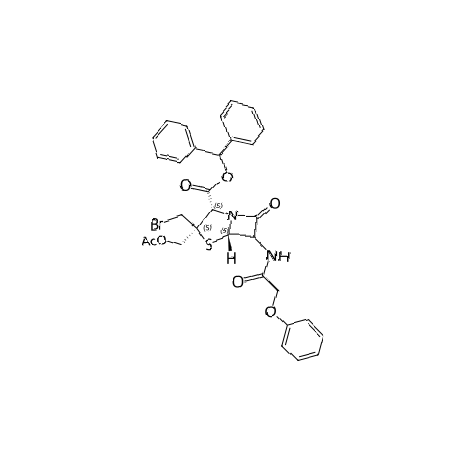 CC(=O)OC[C@@]1(CBr)S[C@H]2C(NC(=O)COc3ccccc3)C(=O)N2[C@H]1C(=O)OC(c1ccccc1)c1ccccc1